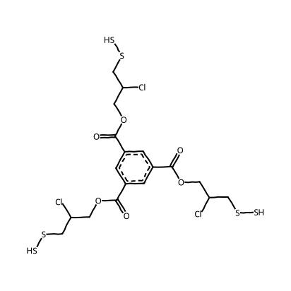 O=C(OCC(Cl)CSS)c1cc(C(=O)OCC(Cl)CSS)cc(C(=O)OCC(Cl)CSS)c1